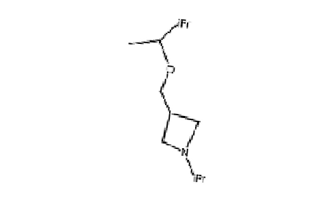 CC(C)C(C)OCC1CN(C(C)C)C1